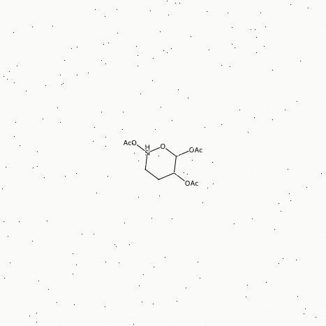 CC(=O)OC1CC[SiH](OC(C)=O)OC1OC(C)=O